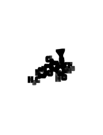 Cc1cc(=O)n(Cc2cc3c(cc2Cl)C(C#CC2CC2)(C(F)(F)F)NC(=O)N3)cn1